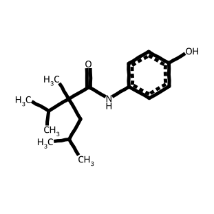 CC(C)CC(C)(C(=O)Nc1ccc(O)cc1)C(C)C